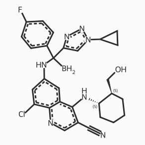 BC(Nc1cc(Cl)c2ncc(C#N)c(N[C@H]3CCCC[C@@H]3CO)c2c1)(c1ccc(F)cc1)c1cn(C2CC2)nn1